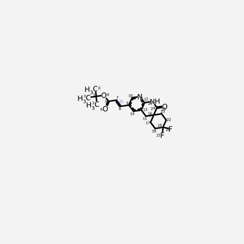 CC(C)(C)OC(=O)/C=C/c1cnc2c(c1)CC1(CCC(F)(F)CC1)C(=O)N2